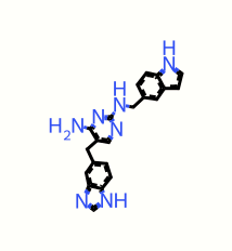 Nc1nc(NCc2ccc3[nH]ccc3c2)ncc1Cc1ccc2[nH]cnc2c1